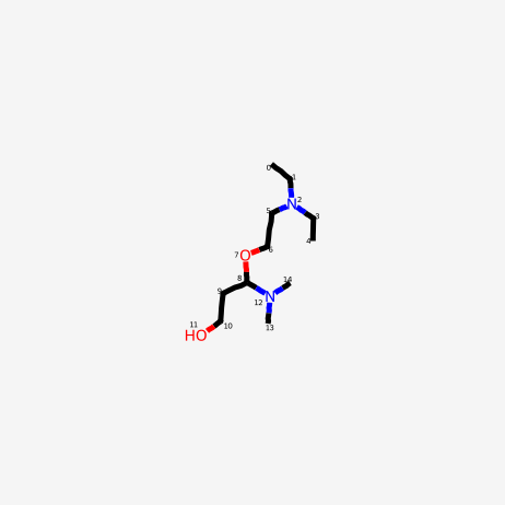 CCN(CC)CCOC(CCO)N(C)C